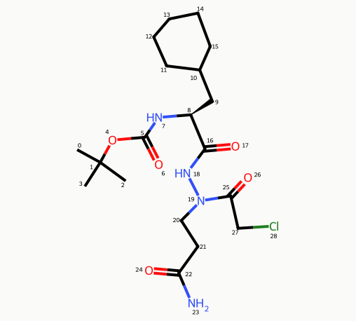 CC(C)(C)OC(=O)N[C@@H](CC1CCCCC1)C(=O)NN(CCC(N)=O)C(=O)CCl